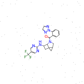 O=C(c1ccccc1-n1nccn1)N1CC2CC23CC(Nc2ncc(C(F)(F)F)cn2)C13